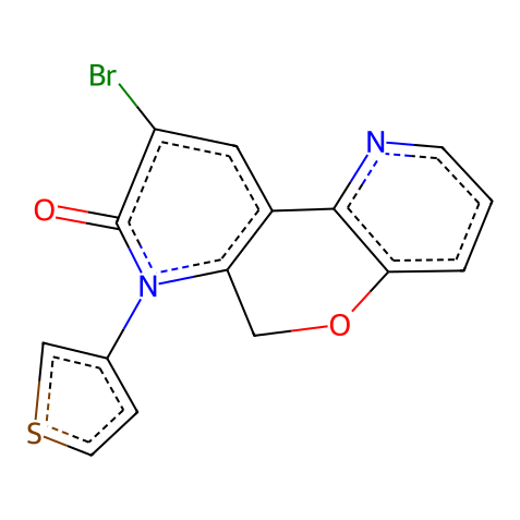 O=c1c(Br)cc2c(n1-c1ccsc1)COc1cccnc1-2